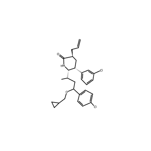 C=CC[C@H]1C[C@H](c2cccc(Cl)c2)[C@H](C(C)CC(OCC2CC2)c2ccc(Cl)cc2)NC1=O